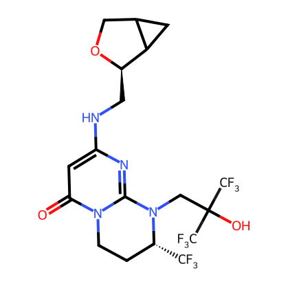 O=c1cc(NC[C@H]2OCC3CC32)nc2n1CC[C@@H](C(F)(F)F)N2CC(O)(C(F)(F)F)C(F)(F)F